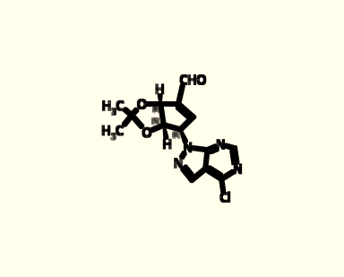 CC1(C)O[C@@H]2[C@H](O1)C(C=O)=C[C@H]2n1ncc2c(Cl)ncnc21